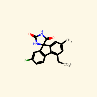 Cc1cc(CC(=O)O)c2c(c1)C1(NC(=O)NC1=O)c1cc(F)ccc1-2